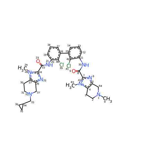 CN1CCc2c(nc(C(=O)Nc3cccc(-c4cccc(NC(=O)c5nc6c(n5C)CCN(CC5CC5)C6)c4Cl)c3Cl)n2C)C1